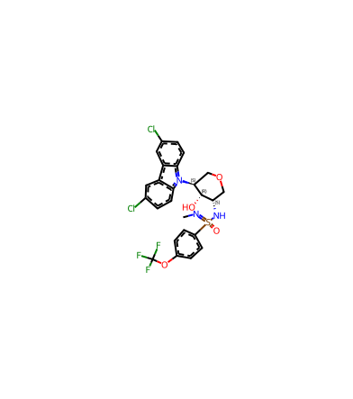 CN=S(=O)(N[C@H]1COC[C@H](n2c3ccc(Cl)cc3c3cc(Cl)ccc32)[C@H]1O)c1ccc(OC(F)(F)F)cc1